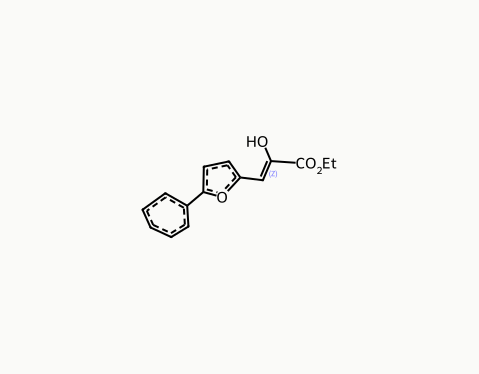 CCOC(=O)/C(O)=C/c1ccc(-c2ccccc2)o1